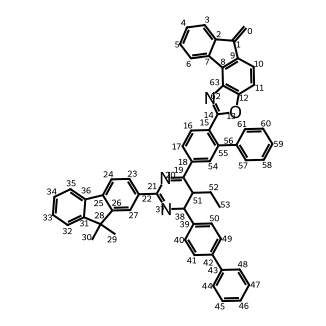 C=C1c2ccccc2-c2c1ccc1oc(-c3ccc(C4=NC(c5ccc6c(c5)C(C)(C)c5ccccc5-6)=NC(c5ccc(-c6ccccc6)cc5)C4CC)cc3-c3ccccc3)nc21